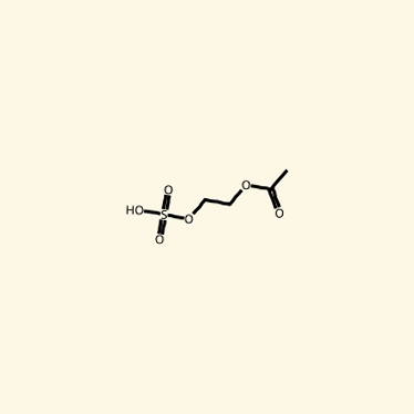 CC(=O)OCCOS(=O)(=O)O